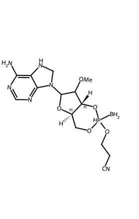 B[PH]1(OCCC#N)OC[C@H]2OC(N3CNc4c(N)ncnc43)C(OC)[C@@H]2O1